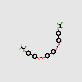 FC(F)=C(F)Oc1ccc(-c2ccc(OCOc3ccc(-c4ccc(OCOc5ccc(-c6ccc(OC(F)=C(F)F)cc6)cc5)cc4)cc3)cc2)cc1